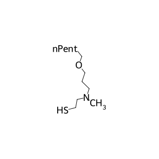 CCCCCCOCCCN(C)CCS